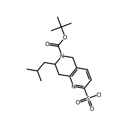 CC(C)CC1Cc2nc(S(=O)(=O)Cl)ccc2CN1C(=O)OC(C)(C)C